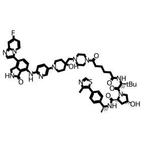 Cc1ncsc1-c1ccc([C@H](C)NC(=O)[C@@H]2C[C@@H](O)CN2C(=O)[C@@H](NC(=O)CCCCC(=O)N2CCN(CC3(O)CCN(c4ccc(Nc5ccc(-c6cnc7cc(F)ccn67)c6c5C(=O)NC6)nc4)CC3)CC2)C(C)(C)C)cc1